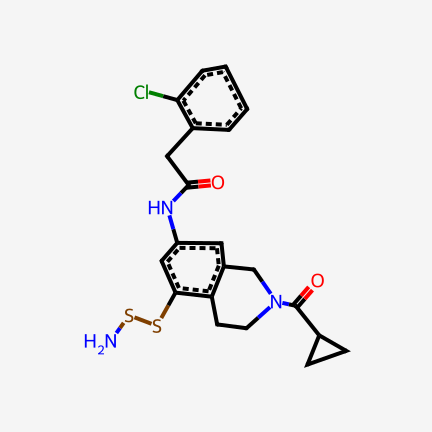 NSSc1cc(NC(=O)Cc2ccccc2Cl)cc2c1CCN(C(=O)C1CC1)C2